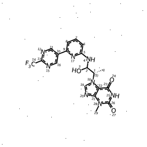 C[C@@H](C(O)Nc1cccc(-c2cnc(C(F)(F)F)nc2)n1)n1cnc2c1c(=O)[nH]c(=O)n2C